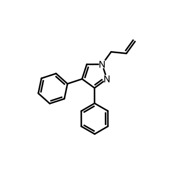 C=CCn1cc(-c2ccccc2)c(-c2ccccc2)n1